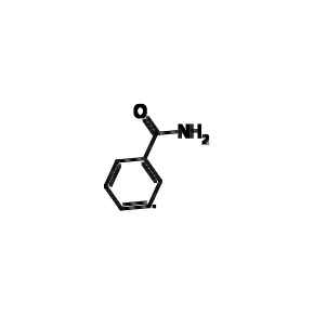 NC(=O)c1c[c]ccc1